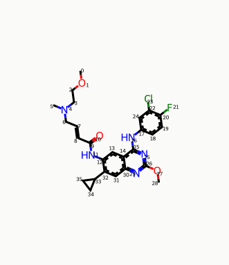 COCCN(C)CC=CC(=O)Nc1cc2c(Nc3ccc(F)c(Cl)c3)nc(OC)nc2cc1C1CC1